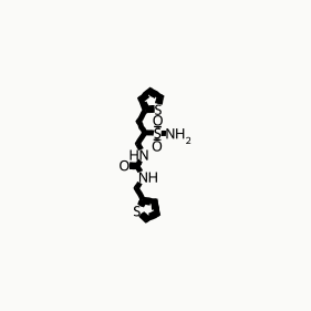 NS(=O)(=O)C(CNC(=O)NCc1cccs1)Cc1cccs1